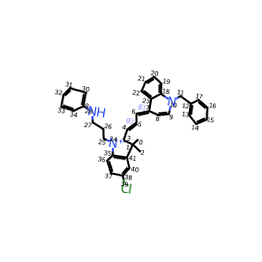 CC1(C)C(/C=C/C=C2\C=CN(Cc3ccccc3)c3ccccc32)=[N+](CCCNc2ccccc2)c2ccc(Cl)cc21